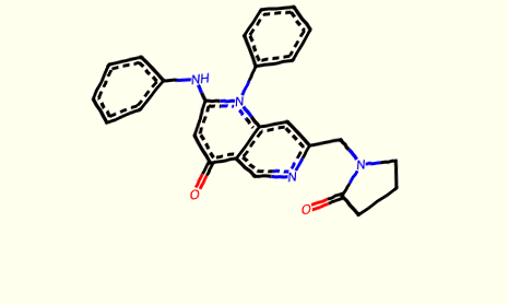 O=C1CCCN1Cc1cc2c(cn1)c(=O)cc(Nc1ccccc1)n2-c1ccccc1